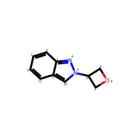 c1ccc2nn(C3COC3)cc2c1